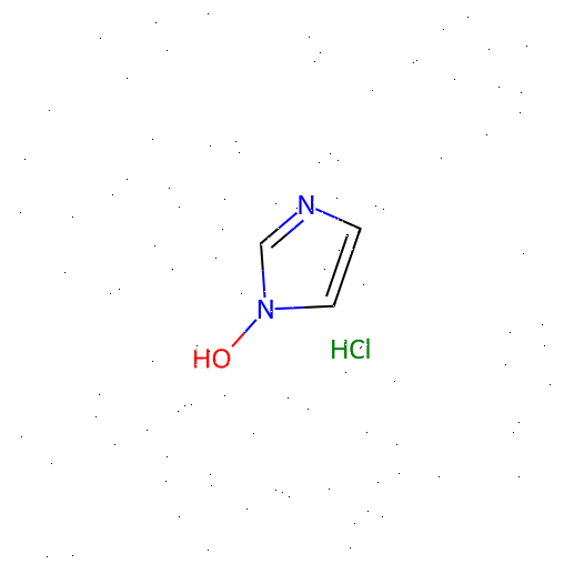 Cl.On1ccnc1